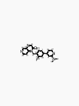 CN(C)c1cc(-c2cc(F)c(Cn3c(=O)cnc4cnccc43)c(F)c2)ccn1